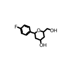 OCC1CC(O)CC(c2ccc(F)cc2)O1